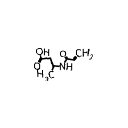 C=CC(=O)NC(C)CC(=O)O